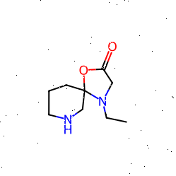 CCN1CC(=O)OC12CCCNC2